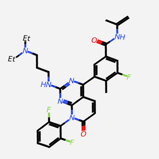 C=C(C)NC(=O)c1cc(F)c(C)c(-c2nc(NCCCN(CC)CC)nc3c2ccc(=O)n3-c2c(F)cccc2F)c1